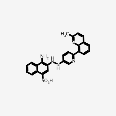 Cc1ccc2cccc(-c3ccc(NNc4cc(S(=O)(=O)O)c5ccccc5c4N)cn3)c2n1